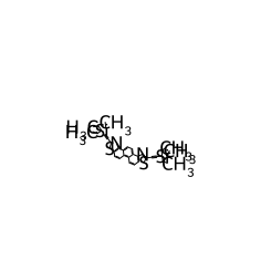 CC[Si](C#Cc1nc2c(ccc3c4ccc5sc(C#C[Si](CC)(CC)CC)nc5c4ccc32)s1)(CC)CC